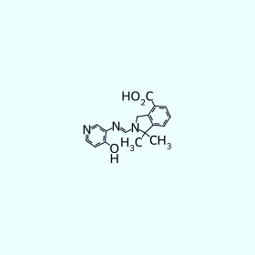 CC1(C)c2cccc(C(=O)O)c2CN1C=Nc1cnccc1O